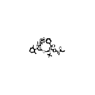 CCC(=O)N(C)[C@H]1C[C@@H](N2C(=O)c3cccc(c3)S(=O)(=O)Nc3nc(cc(-c4c(C)cccc4C)n3)OC[C@H]2CC(C)(C)C)C1